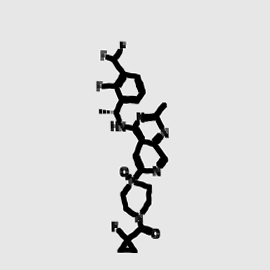 Cc1nc(N[C@H](C)c2cccc(C(F)F)c2F)c2cc(P3(=O)CCN(C(=O)C4(F)CC4)CC3)ncc2n1